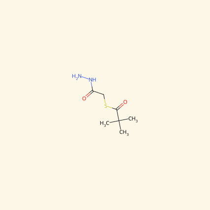 CC(C)(C)C(=O)SCC(=O)NN